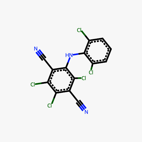 N#Cc1c(Cl)c(Cl)c(C#N)c(Nc2c(Cl)cccc2Cl)c1Cl